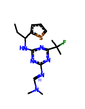 CCC(Nc1nc(/N=C/N(C)C)nc(C(C)(C)F)n1)c1cccs1